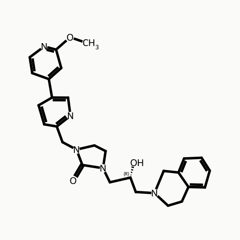 COc1cc(-c2ccc(CN3CCN(C[C@H](O)CN4CCc5ccccc5C4)C3=O)nc2)ccn1